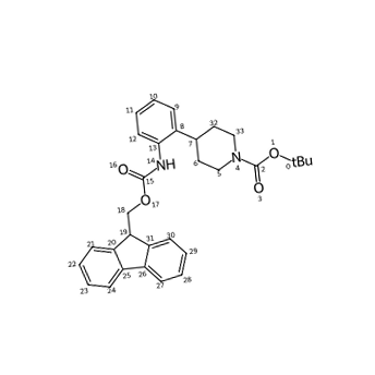 CC(C)(C)OC(=O)N1CCC(c2ccccc2NC(=O)OCC2c3ccccc3-c3ccccc32)CC1